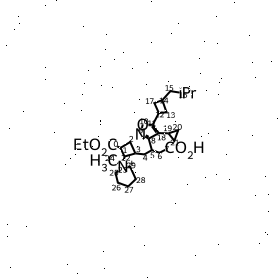 CCOC(=O)C1CC(CC(CC(=O)O)c2noc(C3CC(CC(C)C)C3)c2C2CC2)C1[N+]1(C)CCCCC1